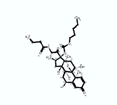 CCCCCOC(=O)O[C@]1(C(=O)COC(=O)CCC)[C@H](C)C[C@H]2[C@@H]3C[C@H](F)C4=CC(=O)C=C[C@]4(C)[C@@]3(F)[C@@H](O)C[C@@]21C